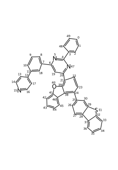 c1ccc(-c2nc(-c3cccc(-c4ccncc4)c3)cc(-c3ccc(-c4ccc5c(c4)sc4ccccc45)c4c3oc3ccccc34)n2)cc1